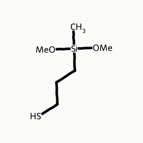 CO[Si](C)(CCCS)OC